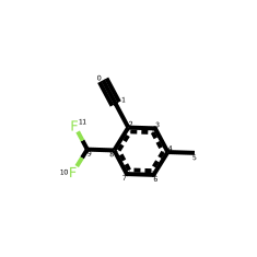 C#Cc1cc(C)ccc1C(F)F